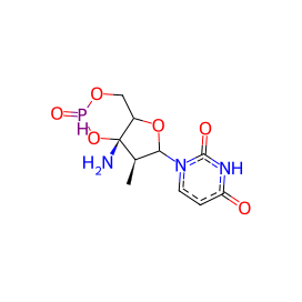 C[C@@H]1C(n2ccc(=O)[nH]c2=O)OC2CO[PH](=O)O[C@]21N